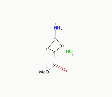 COC(=O)C1CC(N)C1.Cl